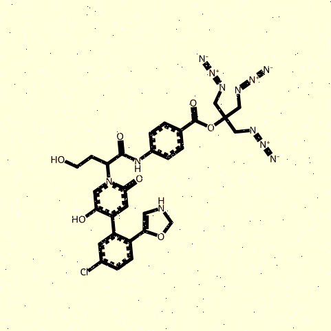 [N-]=[N+]=NCC(CN=[N+]=[N-])(CN=[N+]=[N-])OC(=O)c1ccc(NC(=O)C(CCO)n2cc(O)c(-c3cc(Cl)ccc3C3=CNCO3)cc2=O)cc1